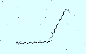 CCCC/C=C/CCCCCCCC/C=C\CCOCOCCCCCC